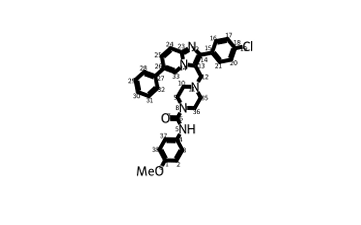 COc1ccc(NC(=O)N2CCN(Cc3c(-c4ccc(Cl)cc4)nc4ccc(-c5ccccc5)cn34)CC2)cc1